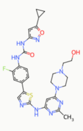 Cc1nc(Nc2ncc(-c3ccc(NC(=O)Nc4cc(C5CC5)on4)c(F)c3)s2)cc(N2CCN(CCO)CC2)n1